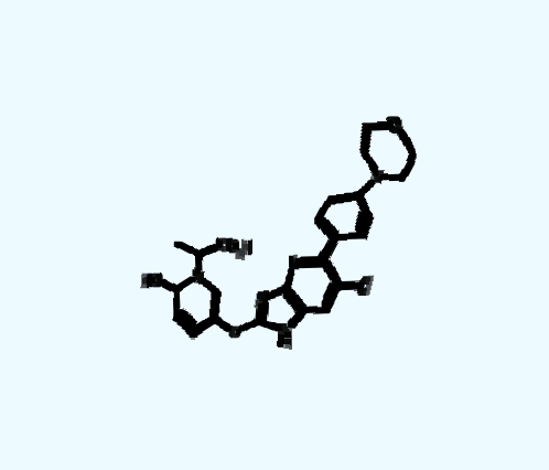 CC(C(=O)O)N1C=C(Oc2nc3nc(-c4ccc(N5CCOCC5)cc4)c(Cl)cc3[nH]2)C=CC1O